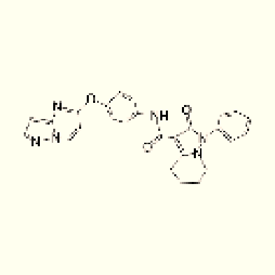 O=C(Nc1ccc(Oc2ccn3nccc3n2)cc1)c1c2n(n(-c3ccccc3)c1=O)CCCC2